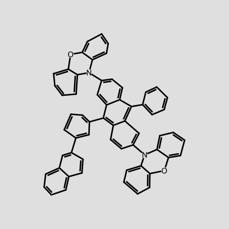 c1ccc(-c2c3ccc(N4c5ccccc5Oc5ccccc54)cc3c(-c3cccc(-c4ccc5ccccc5c4)c3)c3ccc(N4c5ccccc5Oc5ccccc54)cc23)cc1